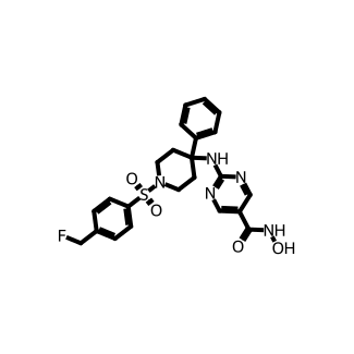 O=C(NO)c1cnc(NC2(c3ccccc3)CCN(S(=O)(=O)c3ccc(CF)cc3)CC2)nc1